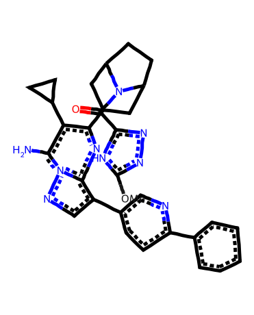 COc1nnc(C(=O)N2C3CCC2CC(c2nc4c(-c5ccc(-c6ccccc6)nc5)cnn4c(N)c2C2CC2)C3)[nH]1